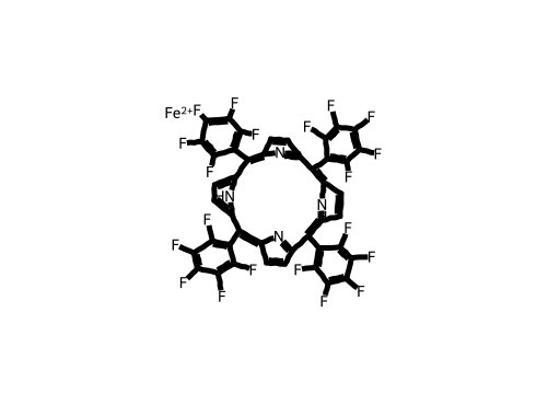 Fc1c(F)c(F)c(-c2c3nc(c(-c4c(F)c(F)c(F)c(F)c4F)c4ccc([nH]4)c(-c4c(F)c(F)c(F)c(F)c4F)c4nc(c(-c5c(F)c(F)c(F)c(F)c5F)c5ccc2[nH]5)C=C4)C=C3)c(F)c1F.[Fe+2]